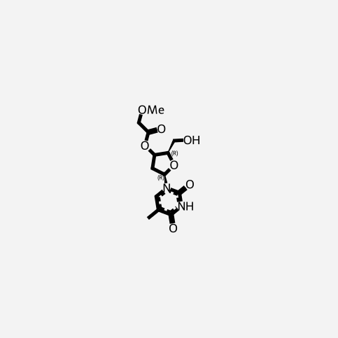 COCC(=O)OC1C[C@H](n2cc(C)c(=O)[nH]c2=O)O[C@@H]1CO